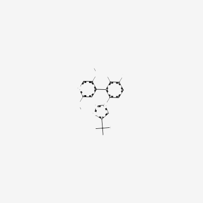 COc1cc(-c2c(-n3cc(C(F)(F)F)nn3)ccc(Cl)c2F)c(OC)cn1